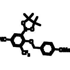 COc1ccc(COc2c(B3OC(C)(C)C(C)(C)O3)cc(C#N)cc2C(F)(F)F)cc1